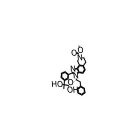 COC(=O)N1CCc2ccc3c(nc(-c4cccc(C(C)(O)C(=O)O)c4)n3[C@@H](C)Cc3ccccc3)c2C1